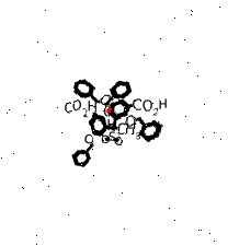 CC(c1cc(OCc2ccccc2)cc(C(=O)O)c1OCc1ccccc1)(c1cc(OCc2ccccc2)cc(C(=O)O)c1OCc1ccccc1)[SH](=O)=O